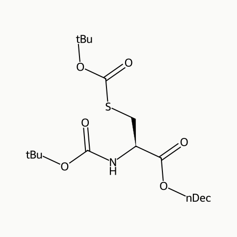 CCCCCCCCCCOC(=O)[C@H](CSC(=O)OC(C)(C)C)NC(=O)OC(C)(C)C